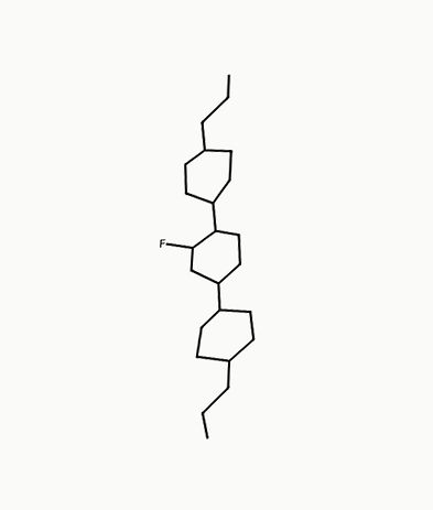 CCCC1CCC(C2CCC(C3CCC(CCC)CC3)C(F)C2)CC1